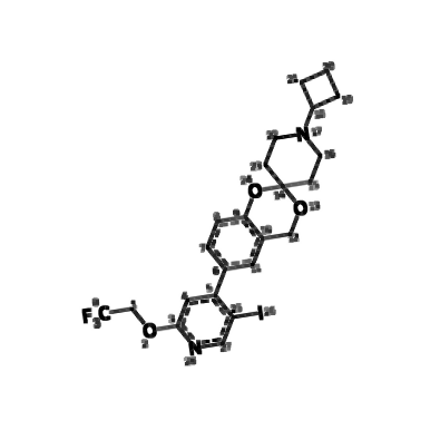 FC(F)(F)COc1cc(-c2ccc3c(c2)COC2(CCN(C4CCC4)CC2)O3)c(I)cn1